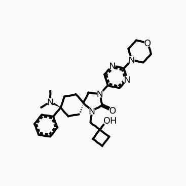 CN(C)[C@]1(c2ccccc2)CC[C@]2(CC1)CN(c1cnc(N3CCOCC3)nc1)C(=O)N2CC1(O)CCC1